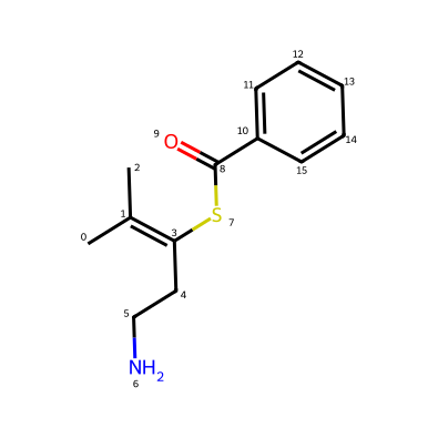 CC(C)=C(CCN)SC(=O)c1ccccc1